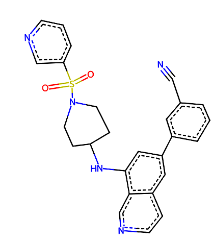 N#Cc1cccc(-c2cc(NC3CCN(S(=O)(=O)c4cccnc4)CC3)c3cnccc3c2)c1